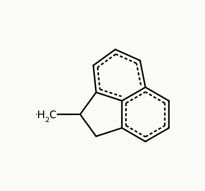 [CH2]C1Cc2cccc3cccc1c23